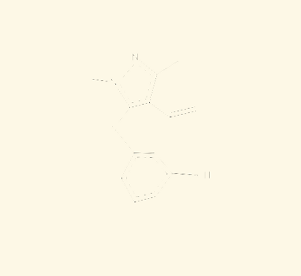 C=Cc1c(C)nn(C)c1Sc1cccc(O)c1